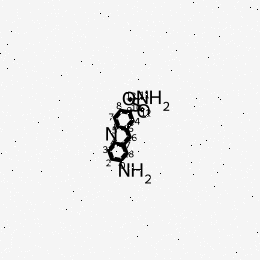 Nc1ccc2nc3ccc(S(N)(=O)=O)cc3cc2c1